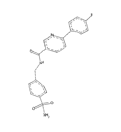 NS(=O)(=O)c1ccc(CNC(=O)c2ccc(-c3ccc(F)cc3)nc2)cc1